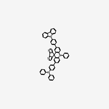 c1ccc(N(c2ccccc2)c2ccc(-c3ccc4c(c3)C3(c5cc(-c6ccc(-n7c8ccccc8c8ccccc87)cc6)ccc5N4c4ccccc4)c4cccnc4-c4ncccc43)cc2)cc1